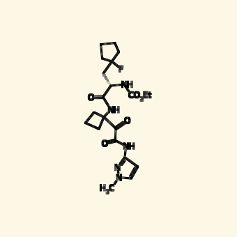 CCOC(=O)N[C@@H](CC1(F)CCCC1)C(=O)NC1(C(=O)C(=O)Nc2ccn(C)n2)CCC1